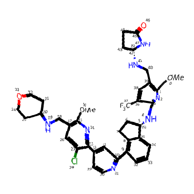 COc1nc(N[C@H]2CCc3c(-c4cc(-c5nc(OC)c(CNC6CCOCC6)cc5Cl)ccn4)cccc32)c(C(F)(F)F)cc1CN[C@@H]1CCC(=O)N1